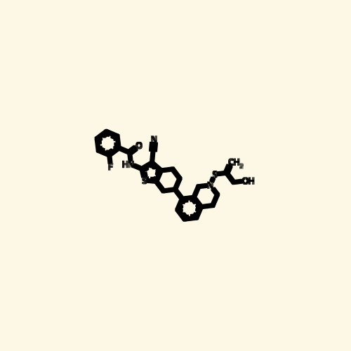 C=C(CO)SN1CCc2cccc(C3CCc4c(sc(NC(=O)c5ccccc5F)c4C#N)C3)c2C1